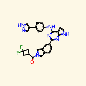 O=C(C1CC(F)(F)C1)n1cc2ccc(-c3nc(Nc4ccc(-c5cn[nH]c5)cc4)c4cc[nH]c4n3)cc2c1